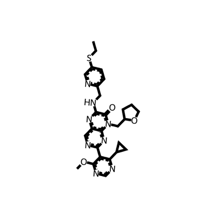 CCSc1ccc(CNc2nc3cnc(-c4c(OC)ncnc4C4CC4)nc3n(CC3CCCO3)c2=O)nc1